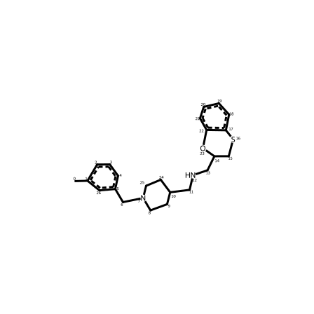 Cc1cccc(CN2CCC(CNCC3CSc4ccccc4O3)CC2)c1